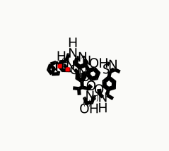 Cc1ncsc1-c1ccc(C(C)NC(=O)[C@@H]2C[C@@H](O)CN2C(=O)C(c2cc(OCCN3CC4CC(C3)C4N3CCN4c5cc(-c6ccccc6O)nnc5NC[C@@H]4C3)no2)C(C)C)cc1